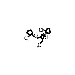 COCCC1NN(c2ccccc2Cl)C=C1COCc1ccccc1Cl